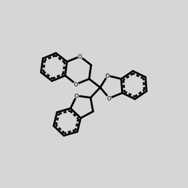 c1ccc2c(c1)C[C](C1(C3COc4ccccc4O3)Oc3ccccc3O1)O2